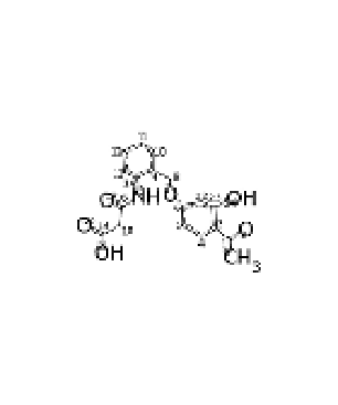 CC(=O)c1ccc(OCc2ccccc2NC(=O)CC(=O)O)cc1O